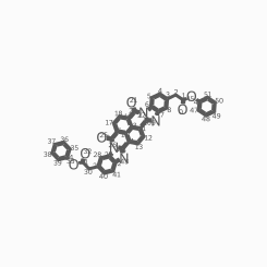 O=C(Cc1ccc2c(c1)nc1c3ccc4c5c(ccc(c(=O)n21)c35)c(=O)n1c2cc(CC(=O)Oc3ccccc3)ccc2nc41)Oc1ccccc1